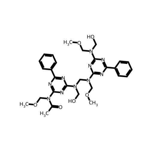 COCN(CO)c1nc(-c2ccccc2)nc(N(COC)CN(CO)c2nc(-c3ccccc3)nc(N(COC)C(C)=O)n2)n1